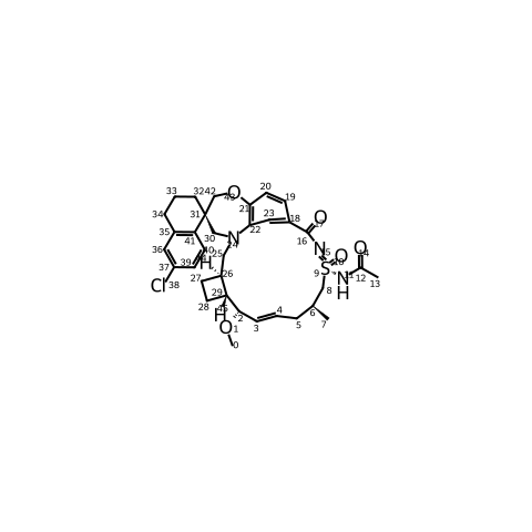 CO[C@H]1/C=C/C[C@H](C)C[S@@](=O)(NC(C)=O)=NC(=O)c2ccc3c(c2)N(C[C@@H]2CC[C@H]21)C[C@@]1(CCCc2cc(Cl)ccc21)CO3